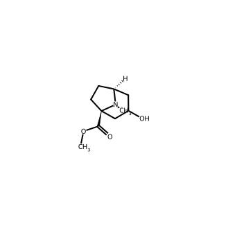 COC(=O)[C@]12CC[C@@H](CC(O)C1)N2C